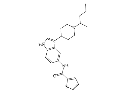 CCCC(C)N1CCC(c2c[nH]c3ccc(NC(=O)c4cccs4)cc23)CC1